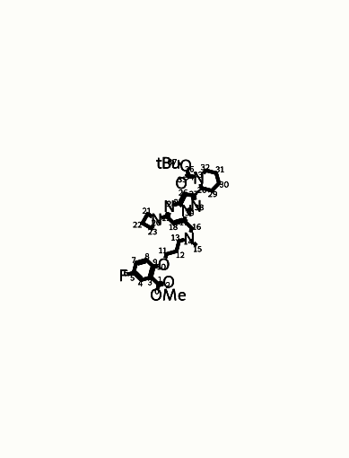 COC(=O)c1cc(F)ccc1OCCCN(C)Cc1cc(N2CCC2)nc2cc([C@@H]3CCCCN3C(=O)OC(C)(C)C)nn12